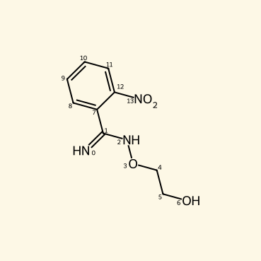 N=C(NOCCO)c1ccccc1[N+](=O)[O-]